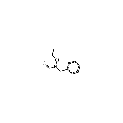 CCON(C=O)Cc1ccccc1